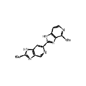 CC(C)(C)c1nc2cnc(-c3nc4c(C(C)(C)C)nccc4[nH]3)cc2[nH]1